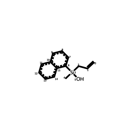 C=CC[Si](C)(O)c1cccc2ccccc12